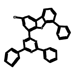 Clc1cc(-c2nc(-c3ccccc3)nc(-c3ccccc3)n2)c2oc3c(-c4ccccc4)cccc3c2c1